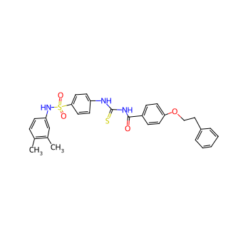 Cc1ccc(NS(=O)(=O)c2ccc(NC(=S)NC(=O)c3ccc(OCCc4ccccc4)cc3)cc2)cc1C